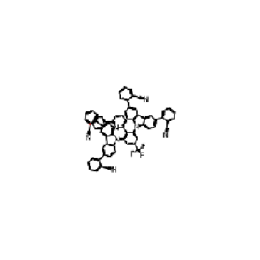 N#Cc1ccccc1-c1ccc2c(c1)c1cc(-c3ccccc3C#N)ccc1n2-c1cc(C(F)(F)F)cc(-n2c3ccc(-c4ccccc4C#N)cc3c3cc(-c4ccccc4C#N)ccc32)c1-c1cccc(-c2ccccc2)n1